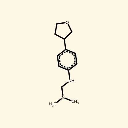 CN(C)CNc1ccc(C2CCOC2)cc1